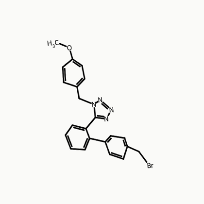 COc1ccc(Cn2nnnc2-c2ccccc2-c2ccc(CBr)cc2)cc1